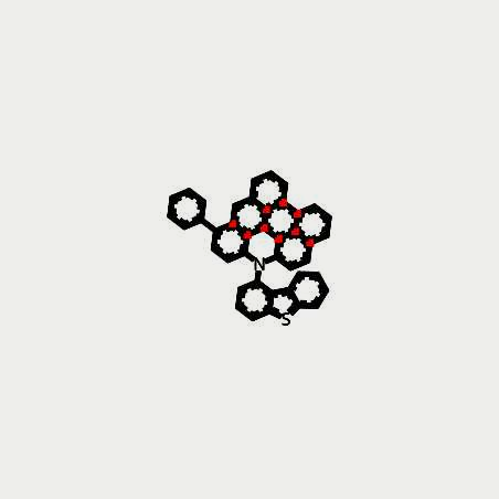 c1ccc(-c2ccc(N(c3ccccc3-c3cccc4cccc(-c5ccccc5)c34)c3cccc4sc5ccccc5c34)c(-c3ccccc3)c2)cc1